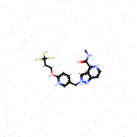 CNC(=O)c1nccc2nn(Cc3ccc(OCCC(F)(F)F)nc3)cc12